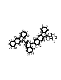 CC1(C)c2ccccc2-c2cc3cc(-c4nc(-n5c6ccccc6c6cc7ccccc7cc65)nc5ccccc45)ccc3cc21